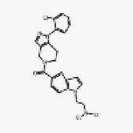 CCN(CC)CCn1ccc2cc(C(=O)N3CCc4c(cnn4-c4ccccc4Cl)C3)ccc21